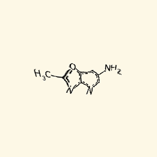 Cc1nc2ncc(N)cc2o1